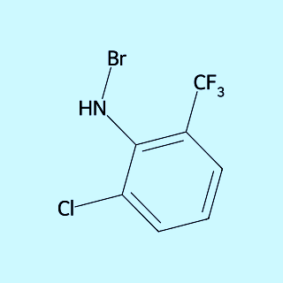 FC(F)(F)c1cccc(Cl)c1NBr